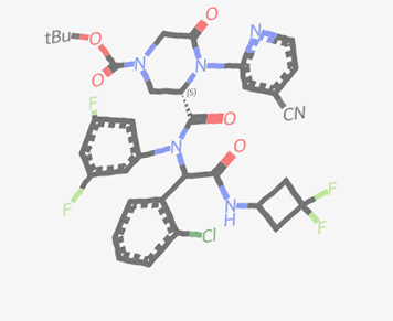 CC(C)(C)OC(=O)N1CC(=O)N(c2cc(C#N)ccn2)[C@H](C(=O)N(c2cc(F)cc(F)c2)C(C(=O)NC2CC(F)(F)C2)c2ccccc2Cl)C1